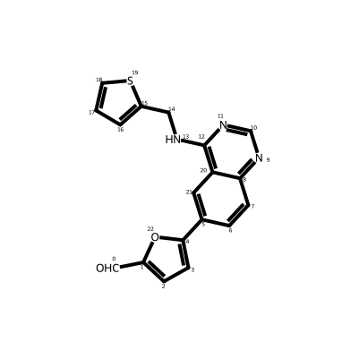 O=Cc1ccc(-c2ccc3ncnc(NCc4cccs4)c3c2)o1